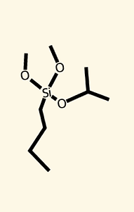 CCCC[Si](OC)(OC)OC(C)C